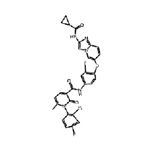 Cc1ccc(C(=O)Nc2ccc(Oc3ccc4nc(NC(=O)C5CC5)cn4c3)c(F)c2)c(=O)n1-c1ccc(F)cc1Cl